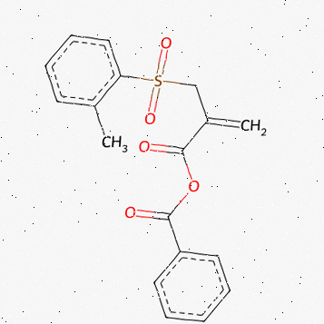 C=C(CS(=O)(=O)c1ccccc1C)C(=O)OC(=O)c1ccccc1